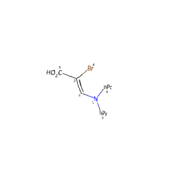 CCCN(/C=C(\Br)C(=O)O)CCC